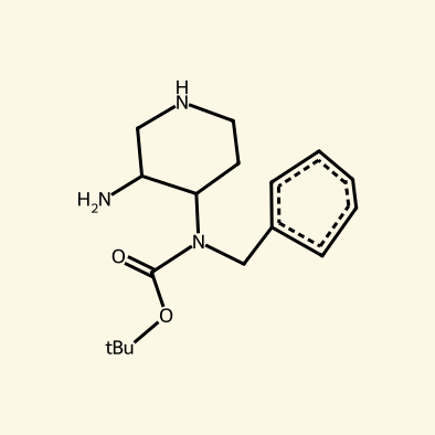 CC(C)(C)OC(=O)N(Cc1ccccc1)C1CCNCC1N